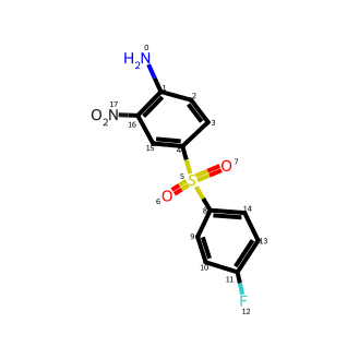 Nc1ccc(S(=O)(=O)c2ccc(F)cc2)cc1[N+](=O)[O-]